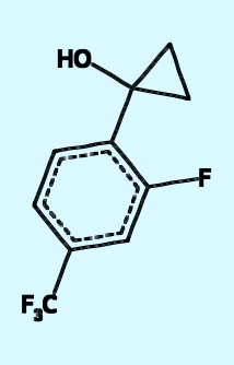 OC1(c2ccc(C(F)(F)F)cc2F)CC1